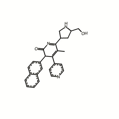 CC1=C(c2ccncc2)C(c2ccc3ccccc3c2)C(=O)N=C1C1CNC(CO)C1